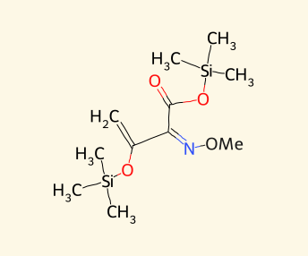 C=C(O[Si](C)(C)C)C(=NOC)C(=O)O[Si](C)(C)C